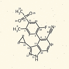 Cc1cc(-c2c(C#N)ncc3[nH]nc(C4CC4)c23)c(F)cc1S(C)(=O)=O